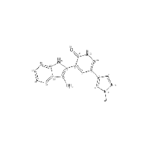 Bc1c(-c2cc(-c3cnn(C)c3)n[nH]c2=O)[nH]c2ccccc12